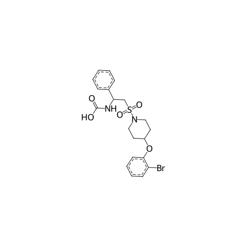 O=C(O)NC(CS(=O)(=O)N1CCC(Oc2ccccc2Br)CC1)c1ccccc1